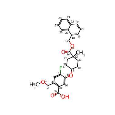 COCc1cc(F)c(OC2CCC(C)(C(=O)OCc3cccc4ccccc34)CC2)cc1C(=O)O